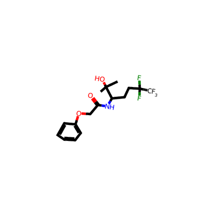 CC(C)(O)C(CCC(F)(F)C(F)(F)F)NC(=O)COc1ccccc1